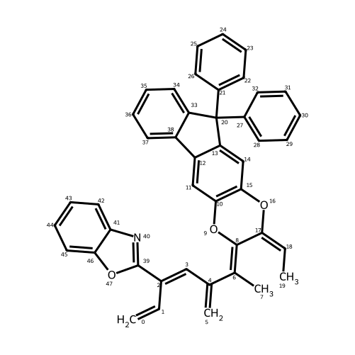 C=C/C(=C\C(=C)/C(C)=C1\Oc2cc3c(cc2O\C1=C\C)C(c1ccccc1)(c1ccccc1)c1ccccc1-3)c1nc2ccccc2o1